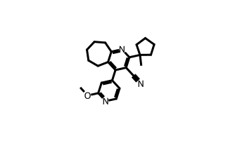 COc1cc(-c2c(C#N)c(C3(C)CCCC3)nc3c2CCCCC3)ccn1